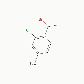 CC(Br)c1ccc(C(F)(F)F)cc1Cl